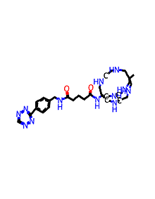 CC12CNCCNCC(NC(=O)CCCC(=O)NCc3ccc(-c4nncnn4)cc3)(CNCCNC1)CNCCNC2